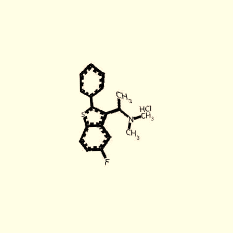 CC(c1c(-c2ccccc2)sc2ccc(F)cc12)N(C)C.Cl